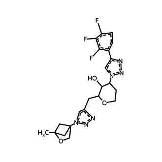 CC12CC(n3cc(CC4OCCC(n5cc(-c6ccc(F)c(F)c6F)nn5)C4O)nn3)(CO1)C2